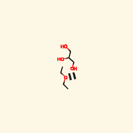 C=C.C=C.CCOCC.OCC(O)CO